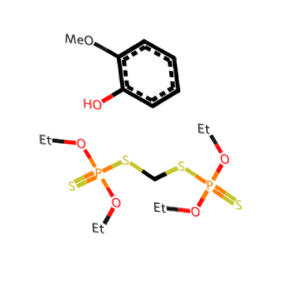 CCOP(=S)(OCC)SCSP(=S)(OCC)OCC.COc1ccccc1O